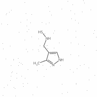 Cc1n[nH]cc1CNS